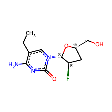 CCc1cn([C@@H]2O[C@H](CO)C[C@H]2F)c(=O)nc1N